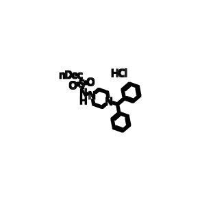 CCCCCCCCCCS(=O)(=O)NN1CCN(C(c2ccccc2)c2ccccc2)CC1.Cl